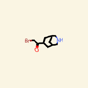 O=C(CBr)C1CC2CNCC(C2)C1